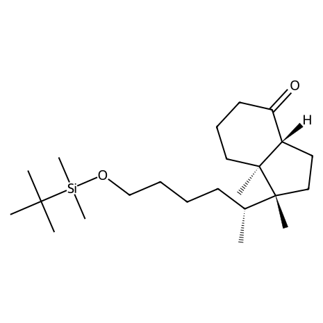 C[C@H](CCCCO[Si](C)(C)C(C)(C)C)[C@@]1(C)CC[C@H]2C(=O)CCC[C@@]21C